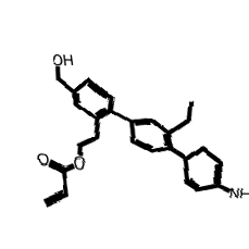 C=CC(=O)OCCc1cc(CO)ccc1-c1ccc(C2C=CC(N)=CC2)c(CC)c1